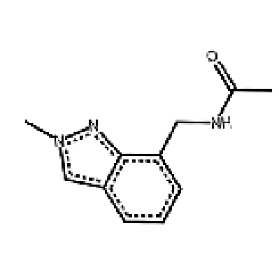 CC(=O)NCc1cccc2cn(C)nc12